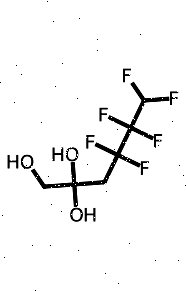 OCC(O)(O)CC(F)(F)C(F)(F)C(F)F